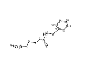 O=C(CCCCS(=O)(=O)O)NCc1ccccc1